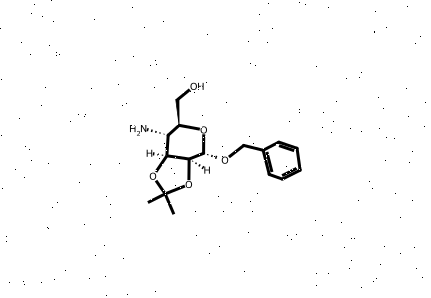 CC1(C)O[C@@H]2[C@@H](OCc3ccccc3)O[C@H](CO)[C@@H](N)[C@@H]2O1